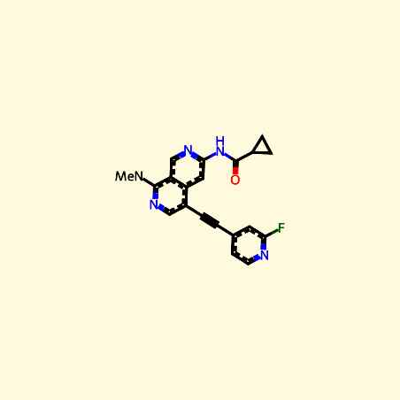 CNc1ncc(C#Cc2ccnc(F)c2)c2cc(NC(=O)C3CC3)ncc12